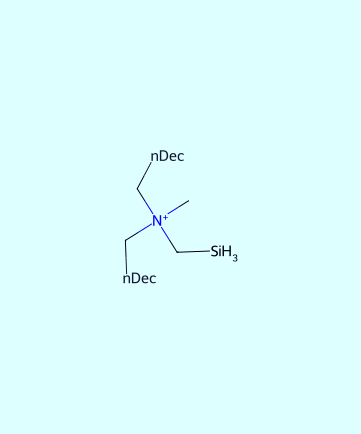 CCCCCCCCCCC[N+](C)(C[SiH3])CCCCCCCCCCC